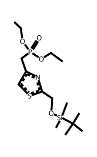 CCOP(=O)(Cc1csc(CO[Si](C)(C)C(C)(C)C)n1)OCC